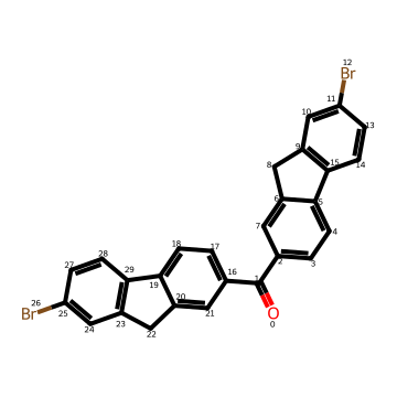 O=C(c1ccc2c(c1)Cc1cc(Br)ccc1-2)c1ccc2c(c1)Cc1cc(Br)ccc1-2